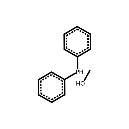 CO.c1ccc(Pc2ccccc2)cc1